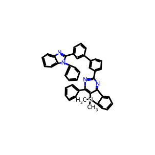 C[Si]1(C)c2ccccc2-c2nc(-c3cccc(-c4cccc(-c5nc6ccccc6n5-c5ccccc5)c4)c3)nc(-c3ccccc3)c21